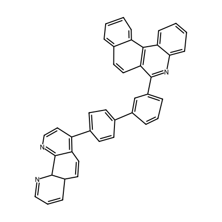 C1=CC2C=Cc3c(-c4ccc(-c5cccc(-c6nc7ccccc7c7c6ccc6ccccc67)c5)cc4)ccnc3C2N=C1